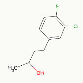 CC(O)C[CH]c1ccc(F)c(Cl)c1